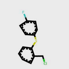 Fc1ccc(Sc2ccccc2CCl)cc1